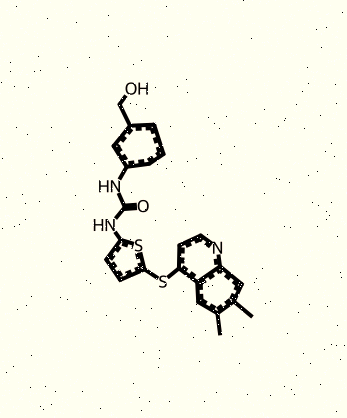 Cc1cc2nccc(Sc3ccc(NC(=O)Nc4cccc(CO)c4)s3)c2cc1C